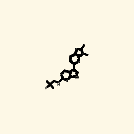 Cc1nc2ccc(-c3c[nH]c4nc(NCC(C)(C)F)ncc34)nc2n1C